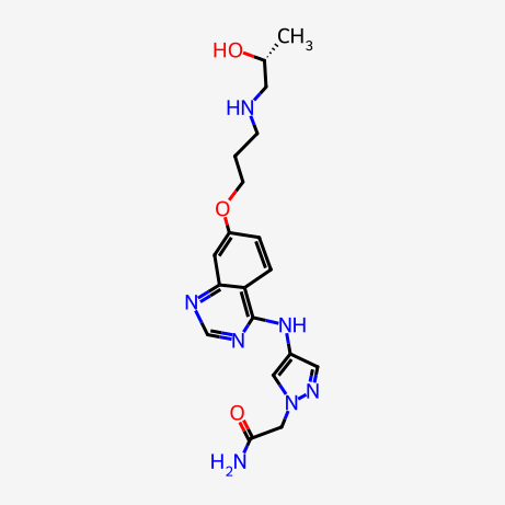 C[C@@H](O)CNCCCOc1ccc2c(Nc3cnn(CC(N)=O)c3)ncnc2c1